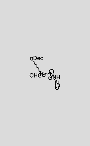 CCCCCCCCCCCCCCCCCCN(C=O)OCCC1CCCCN1C(=O)NCCN1CCOCC1